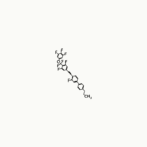 CCCc1ccc(-c2ccc(C#Cc3cc(F)c(C(F)(F)Oc4cc(F)c(F)c(F)c4)c(F)c3)c(F)c2)cc1